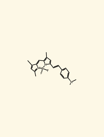 CC1=CC(C)=[N+]2C1=Cc1c(C)cc(/C=C/c3ccc(N(C)C)cc3)n1[B-]2(F)F